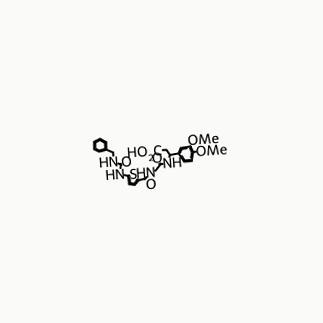 COc1ccc(C(CC(=O)O)NC(=O)CNC(=O)c2ccc(NC(=O)NCc3ccccc3)s2)cc1OC